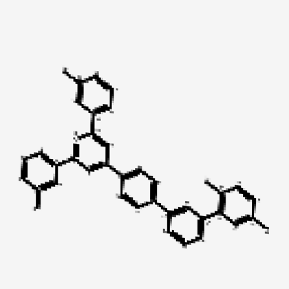 Cc1cccc(-c2cc(-c3ccc(-c4cccc(-c5cc(C)ccc5C)c4)cc3)cc(-c3cccc(C)c3)n2)c1